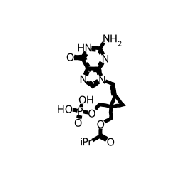 CC(C)C(=O)OCC1(COP(=O)(O)O)CC1=Cn1cnc2c(=O)[nH]c(N)nc21